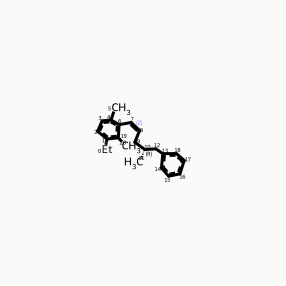 CCc1ccc(C)c(/C=C\C[C@@H](C)Cc2ccccc2)c1C